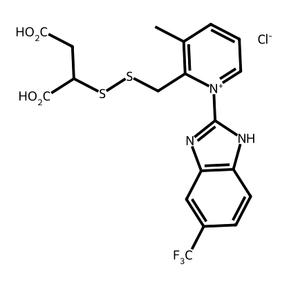 Cc1ccc[n+](-c2nc3cc(C(F)(F)F)ccc3[nH]2)c1CSSC(CC(=O)O)C(=O)O.[Cl-]